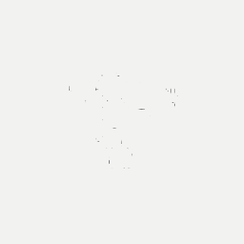 CCCCC(C(=O)O)N1C(=O)C(O)=C(C)C1c1cc2ccccc2o1.NO